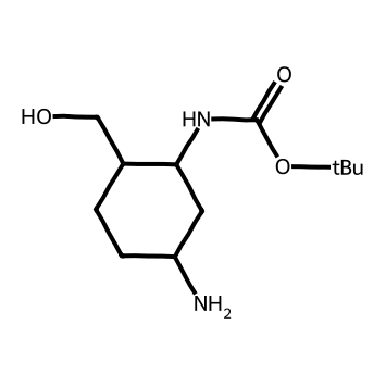 CC(C)(C)OC(=O)NC1CC(N)CCC1CO